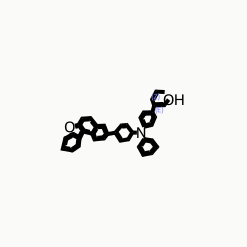 C/C=C\C(=C/O)c1ccc(N(c2ccccc2)C2C=CC(c3ccc4c(ccc5oc6ccccc6c54)c3)=CC2)cc1